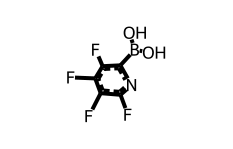 OB(O)c1nc(F)c(F)c(F)c1F